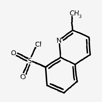 Cc1ccc2cccc(S(=O)(=O)Cl)c2n1